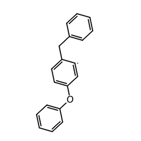 [c]1cc(Oc2ccccc2)ccc1Cc1ccccc1